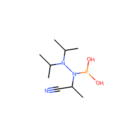 CC(C)N(C(C)C)N(C(C)C#N)P(O)O